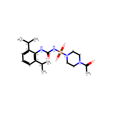 CC(=O)N1CCN(S(=O)(=O)NC(=O)Nc2c(C(C)C)cccc2C(C)C)CC1